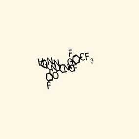 Nc1nc2c(c(=O)n1C(c1ccccc1)c1ccc(F)cc1)CCN(C(=O)Oc1c(F)cc(C(F)(F)F)cc1F)C2